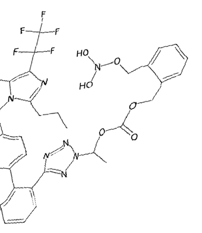 CCCc1nc(C(F)(F)C(F)(F)F)c(C=O)n1Cc1ccc(-c2ccccc2-c2nnn(C(C)OC(=O)OCc3ccccc3CON(O)O)n2)cc1